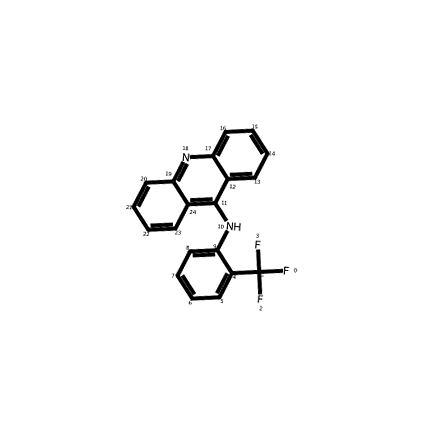 FC(F)(F)c1ccccc1Nc1c2ccccc2nc2ccccc12